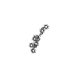 O=C(NCCCN1CCN(Cc2ccccc2)CC1)c1ccccc1OC1CCN(CC(c2ccccc2)c2ccccc2)CC1